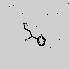 NCCC(S)c1nccs1